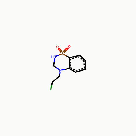 O=S1(=O)NCN(CCF)c2ccccc21